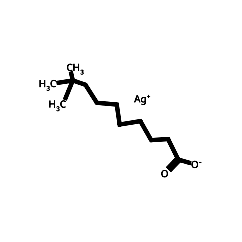 CC(C)(C)CCCCCCCC(=O)[O-].[Ag+]